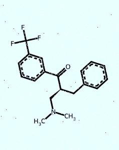 CN(C)C[C@H](Cc1ccccc1)C(=O)c1cccc(C(F)(F)F)c1